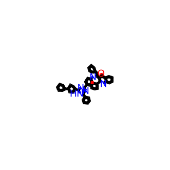 c1ccc(C2=NC(c3ccc(-n4c5ccccc5c5oc6c7ccccc7nc(-c7ccccc7)c6c54)cc3)=NC(c3ccc(-c4ccccc4)cc3)N2)cc1